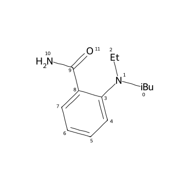 CCC(C)N(CC)c1ccccc1C(N)=O